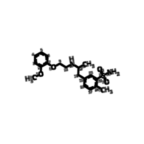 COc1ccccc1OCCNC(C)Cc1ccc(C)c(S(N)(=O)=O)c1